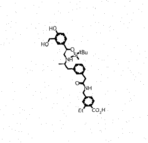 CCc1cc(CNC(=O)Cc2cccc(C[C@@H](C)NC[C@H](O[Si](C)(C)C(C)(C)C)c3ccc(O)c(CO)c3)c2)ccc1C(=O)O